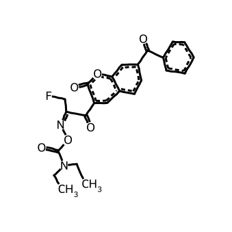 CCN(CC)C(=O)O/N=C(/CF)C(=O)c1cc2ccc(C(=O)c3ccccc3)cc2oc1=O